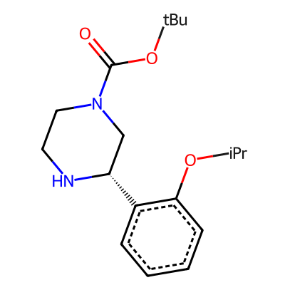 CC(C)Oc1ccccc1[C@H]1CN(C(=O)OC(C)(C)C)CCN1